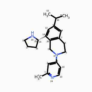 Cc1cc(N2CCc3cc(C(C)C)cc([C@@H]4CCCN4)c3C2)ccn1